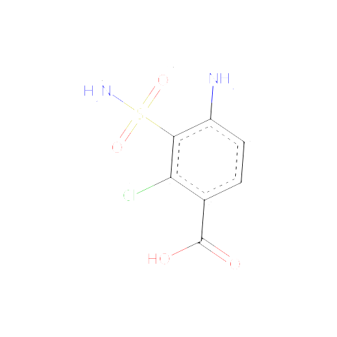 Nc1ccc(C(=O)O)c(Cl)c1S(N)(=O)=O